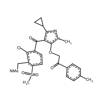 CNCc1c(S(C)(=O)=O)ccc(C(=O)c2c(C3CC3)nn(C)c2OCC(=O)c2ccc(C)cc2)c1Cl